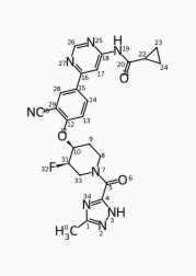 Cc1n[nH]c(C(=O)N2CC[C@H](Oc3ccc(-c4cc(NC(=O)C5CC5)ncn4)cc3C#N)[C@H](F)C2)n1